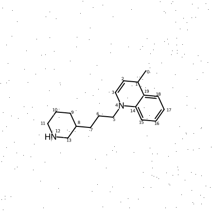 CC1C=CN(CCCC2CCCNC2)c2ccccc21